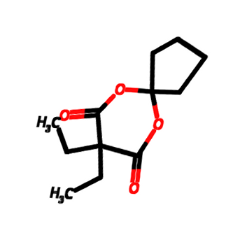 CCC1(CC)C(=O)OC2(CCCC2)OC1=O